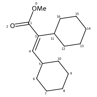 COC(=O)C(=CC1CCCCC1)C1CCCCC1